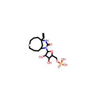 C=CC12CCCCCCCC(C1)N(C1OC(COP(=O)(O)O)C(O)C1O)C(=O)N2